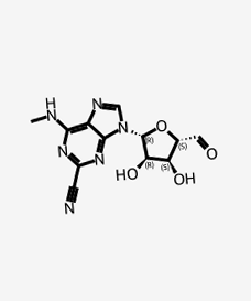 CNc1nc(C#N)nc2c1ncn2[C@@H]1O[C@H](C=O)[C@@H](O)[C@H]1O